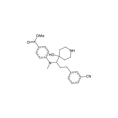 COC(=O)c1ccc(N(C)C(CCc2cccc(C#N)c2)C2(O)CCNCC2)cc1